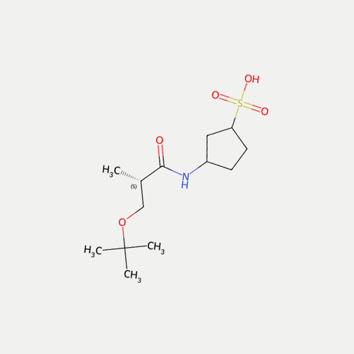 C[C@@H](COC(C)(C)C)C(=O)NC1CCC(S(=O)(=O)O)C1